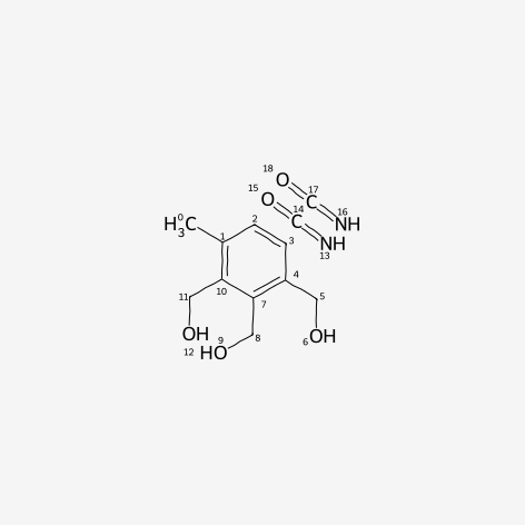 Cc1ccc(CO)c(CO)c1CO.N=C=O.N=C=O